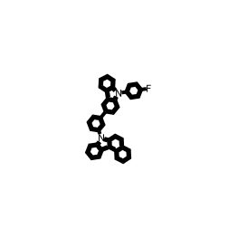 Fc1ccc(-n2c3ccccc3c3cc(-c4cccc(-n5c6ccccc6c6c7ccccc7ccc65)c4)ccc32)cc1